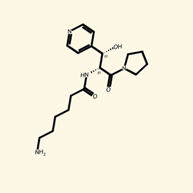 NCCCCCC(=O)N[C@@H](C(=O)N1CCCC1)[C@@H](O)c1ccncc1